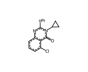 CCCc1nc2cccc(Cl)c2c(=O)n1C1CC1